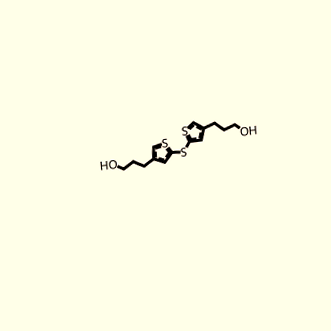 OCCCc1csc(Sc2cc(CCCO)cs2)c1